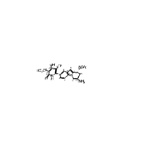 CCc1c(-c2ccc3c(c2)cc2n3C[C@H](N)C[C@H]2NC)[nH]c(=O)c(C(=O)O)c1O